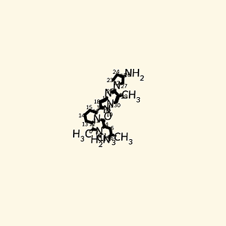 CCN(C)C(CC(C)N)C(=O)N1CCCC[C@H]1c1cc2nc(N3CC[C@H](N)C3)c(C)cn2n1